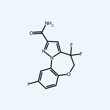 NC(=O)c1cc2n(n1)-c1cc(I)ccc1OCC2(F)F